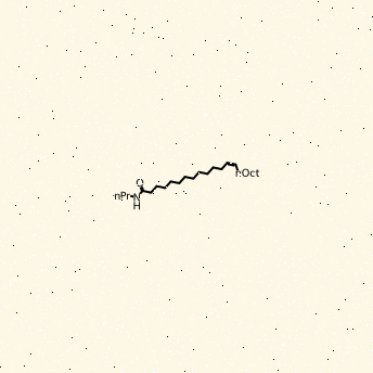 CC[CH]NC(=O)CCCCCCCCCCC/C=C\CCCCCCCC